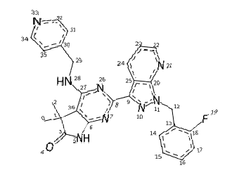 CC1(C)C(=O)Nc2nc(-c3nn(Cc4ccccc4F)c4ncccc34)nc(NCc3ccncc3)c21